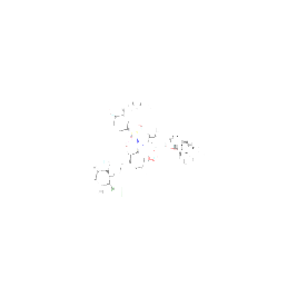 COc1cc(S(=O)(=O)N2c3cc(/C=C/c4c(F)cccc4Cl)ccc3O[C@@H](CO[Si](C)(C)C(C)(C)C)[C@H]2C)ccc1F